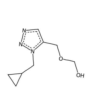 OCOCc1cnnn1CC1CC1